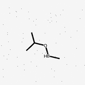 CBOC(C)C